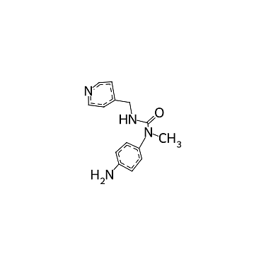 CN(C(=O)NCc1ccncc1)c1ccc(N)cc1